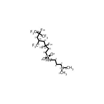 CN(C)CCCNS(=O)(=O)CCC(F)(F)CC(CC(F)(C(F)(F)F)C(F)(F)F)C(F)(F)F